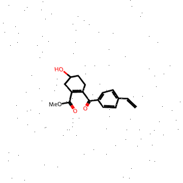 C=Cc1ccc(C(=O)C2=C(C(=O)OC)CC(O)CC2)cc1